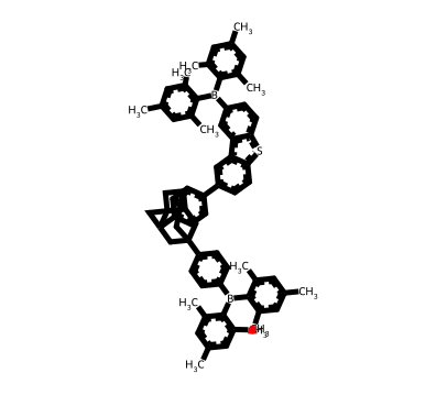 Cc1cc(C)c(B(c2ccc(C34CC5CC6(CC6(c6ccc(-c7ccc8sc9ccc(B(c%10c(C)cc(C)cc%10C)c%10c(C)cc(C)cc%10C)cc9c8c7)cc6)C3)C5C4)cc2)c2c(C)cc(C)cc2C)c(C)c1